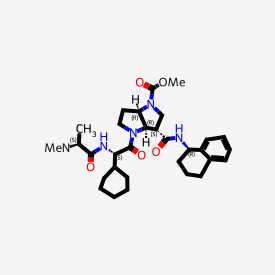 CN[C@@H](C)C(=O)N[C@H](C(=O)N1CC[C@@H]2[C@H]1[C@@H](C(=O)N[C@@H]1CCCc3ccccc31)CN2C(=O)OC)C1CCCCC1